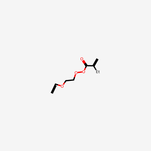 C=COCCOOC(=O)C(=C)CC